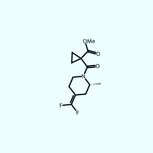 COC(=O)C1(C(=O)N2CCC(=C(F)F)C[C@H]2C)CC1